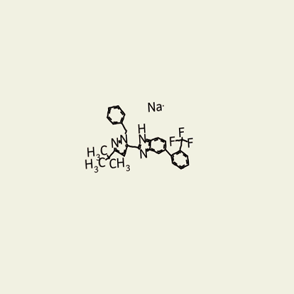 CC(C)(C)c1cc(-c2nc3cc(-c4ccccc4C(F)(F)F)ccc3[nH]2)n(Cc2ccccc2)n1.[Na]